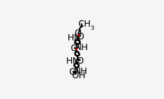 CCCCOC(=O)Nc1ccc(NC(=O)c2ccc(C(=O)Nc3ccc(NC(=O)O)cc3)cc2)cc1